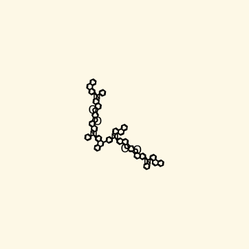 c1ccc(N(c2ccc3c(ccc4c5cc6oc7c8ccc(N(c9ccccc9)c9ccc%10c(-c%11ccc(N(c%12ccc%13c(ccc%14c%15cc%16oc%17c%18ccc(N(c%19ccccc%19)c%19cccc%20c%19ccc%19ccccc%19%20)cc%18ccc%17c%16cc%15oc%13%14)c%12)c%12cccc%13c%12ccc%12ccccc%12%13)cc%11)cc%11ccccc%11c%10c9)cc8ccc7c6cc5oc34)c2)c2ccc3ccc4ccccc4c3c2)cc1